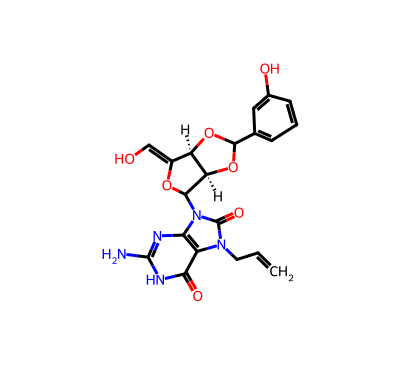 C=CCn1c(=O)n(C2O/C(=C\O)[C@H]3OC(c4cccc(O)c4)O[C@@H]23)c2nc(N)[nH]c(=O)c21